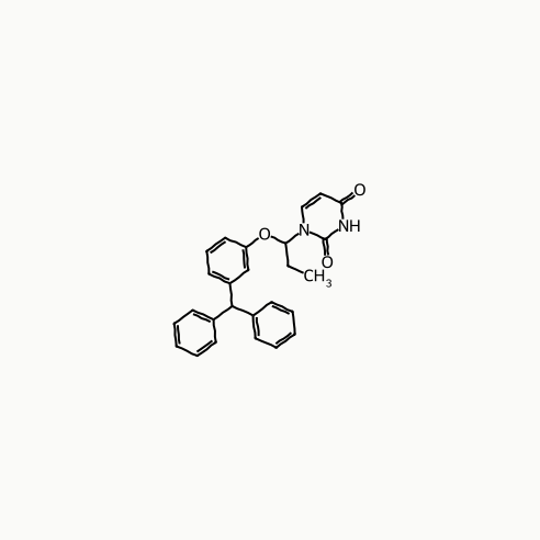 CCC(Oc1cccc(C(c2ccccc2)c2ccccc2)c1)n1ccc(=O)[nH]c1=O